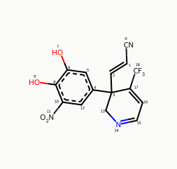 N#CC=CC1(c2cc(O)c(O)c([N+](=O)[O-])c2)CN=CC=C1C(F)(F)F